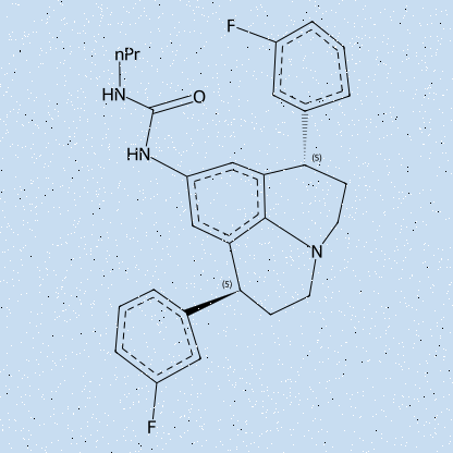 CCCNC(=O)Nc1cc2c3c(c1)[C@H](c1cccc(F)c1)CCN3CC[C@H]2c1cccc(F)c1